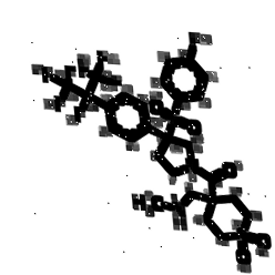 CNCC1(C(=O)N2CC[C@](c3ccc(C(F)(C(F)(F)F)C(F)(F)F)cc3)(S(=O)(=O)c3ccc(F)cc3)C2)CCS(=O)(=O)CC1